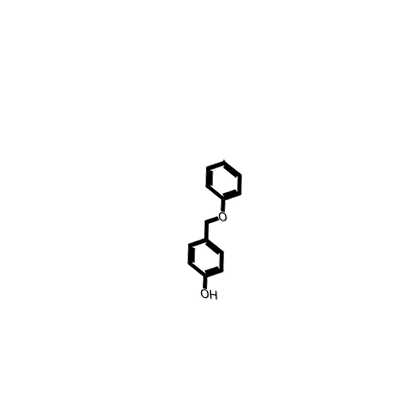 Oc1ccc(COc2cc[c]cc2)cc1